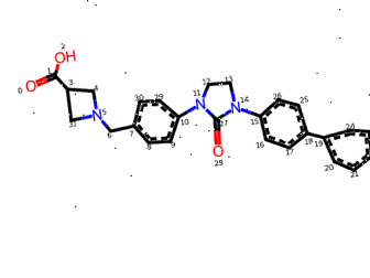 O=C(O)C1CN(Cc2ccc(N3CCN(c4ccc(-c5ccccc5)cc4)C3=O)cc2)C1